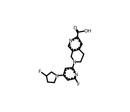 O=C(O)c1cc2c(cn1)CN(c1cc(N3CCC(F)C3)cc(F)n1)CC2